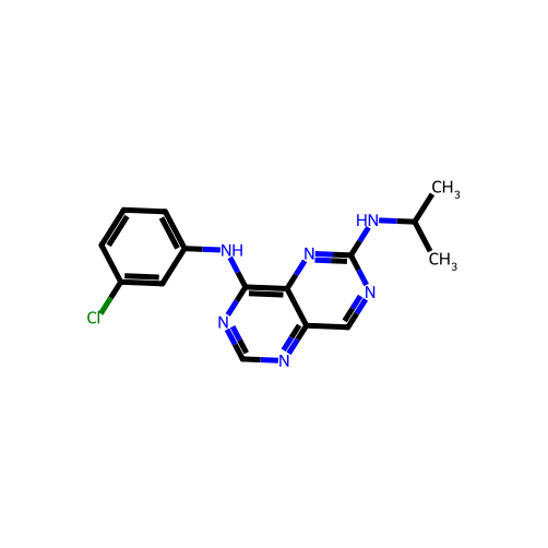 CC(C)Nc1ncc2ncnc(Nc3cccc(Cl)c3)c2n1